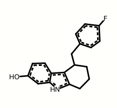 Oc1ccc2c3c([nH]c2c1)CCCC3Cc1ccc(F)cc1